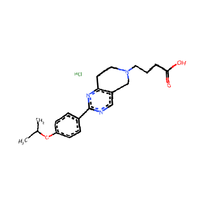 CC(C)Oc1ccc(-c2ncc3c(n2)CCN(CCCC(=O)O)C3)cc1.Cl